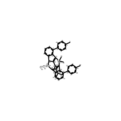 Cc1ccc(-c2cccc3c2C2=C(C(C)C)[CH]3[Zr+2][CH]3C(C(C)C)=C(c4c(-c5ccc(C)cc5)cccc43)[Si]2(C)C)cc1.[Cl-].[Cl-]